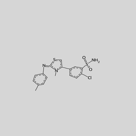 Cc1ccc(/N=c2/scc(-c3ccc(Cl)c(S(N)(=O)=O)c3)n2C)cc1